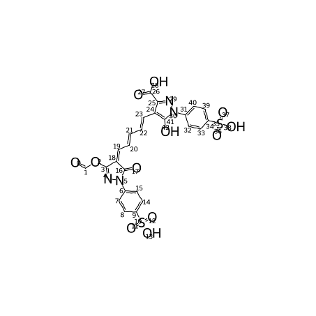 O=COC1=NN(c2ccc(S(=O)(=O)O)cc2)C(=O)/C1=C\C=CC=Cc1c(C(=O)O)nn(-c2ccc(S(=O)(=O)O)cc2)c1O